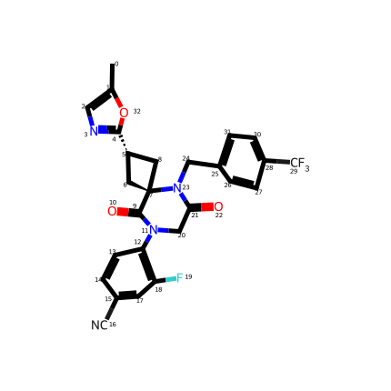 Cc1cnc([C@H]2C[C@]3(C2)C(=O)N(c2ccc(C#N)cc2F)CC(=O)N3Cc2ccc(C(F)(F)F)cc2)o1